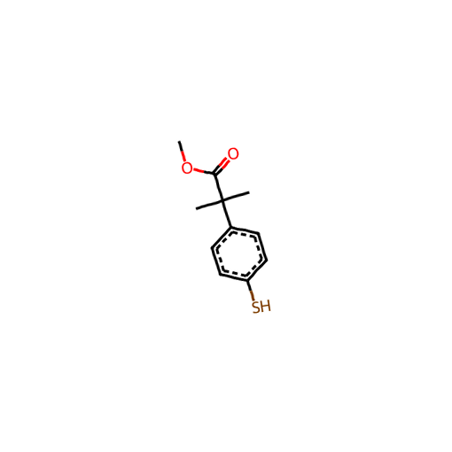 COC(=O)C(C)(C)c1ccc(S)cc1